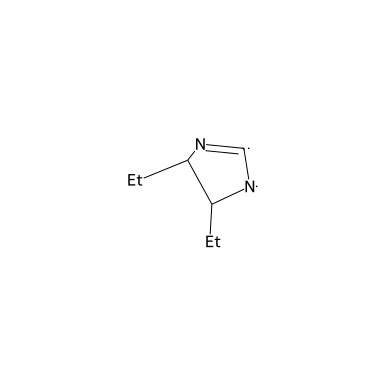 CCC1[N][C]=NC1CC